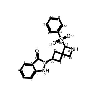 O=c1c2ccccc2[nH]n1C1CC2(CNC2S(=O)(=O)c2ccccc2)C1